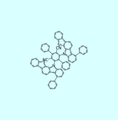 N#Cc1c(-c2ccccc2)c(C#N)c(-n2c3cccc(-c4ccccc4)c3c3ccc4c5ccccc5sc4c32)c(-c2ccccc2)c1-n1c2cccc(-c3ccccc3)c2c2ccc3c4ccccc4sc3c21